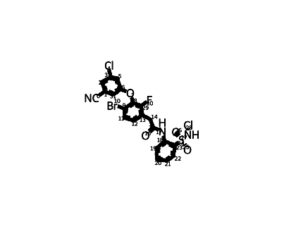 N#Cc1cc(Cl)cc(Oc2c(Br)ccc(CC(=O)Nc3ccccc3S(=O)(=O)NCl)c2F)c1